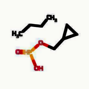 CCCC.O=[PH](O)OCC1CC1